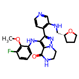 COc1c(F)cccc1Nc1c(-c2ccncc2NC[C@H]2CCCO2)nn2c1C(=O)NCC2